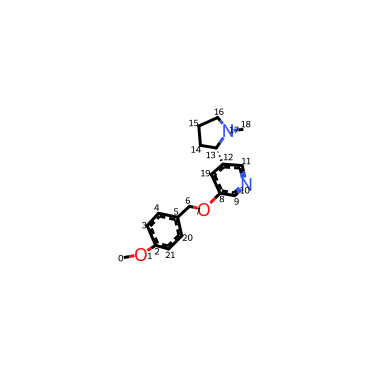 COc1ccc(COc2cncc([C@@H]3CCCN3C)c2)cc1